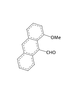 COc1cccc2cc3ccccc3c(C=O)c12